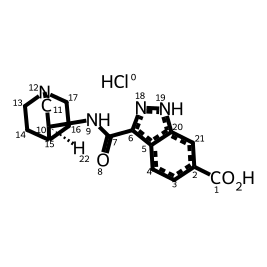 Cl.O=C(O)c1ccc2c(C(=O)N[C@@H]3CN4CCC3CC4)n[nH]c2c1